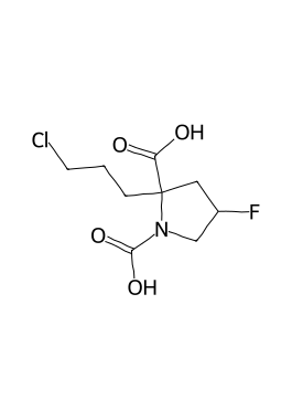 O=C(O)N1CC(F)CC1(CCCCl)C(=O)O